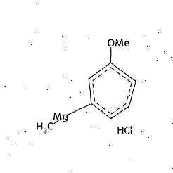 COc1ccc[c]([Mg][CH3])c1.Cl